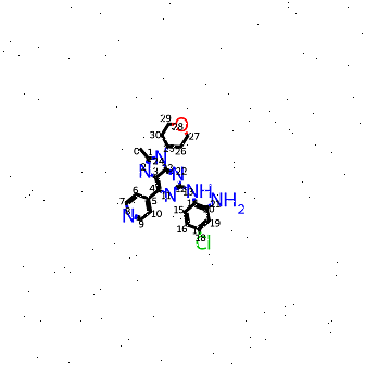 Cc1nc2c(-c3ccncc3)nc(Nc3ccc(Cl)cc3N)nc2n1C1CCOCC1